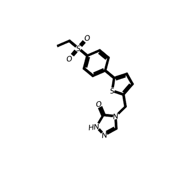 CCS(=O)(=O)c1ccc(-c2ccc(Cn3cn[nH]c3=O)s2)cc1